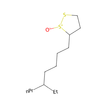 CCCC(CC)CCCCC1CCS[S+]1[O-]